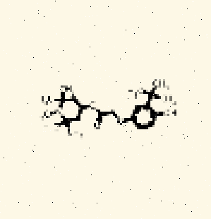 CN1C(C)(C)CC(OC(=O)COc2ccc(O)c(C(C)(C)C)c2)CC1(C)C